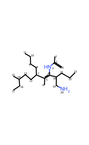 C=C(C)N/C(=C(/C)C(CCCC)CCC(C)CC)C(CN)CCC